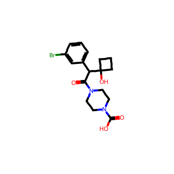 O=C(O)N1CCN(C(=O)C(c2cccc(Br)c2)C2(O)CCC2)CC1